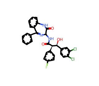 O=C1Nc2ccccc2C(c2ccccc2)=NC1NC(=O)[C@H](c1ccc(F)cc1)[C@@H](O)c1ccc(Cl)c(Cl)c1